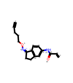 C#CCCCO/N=C1/CCc2cc(NC(=O)C=C)ccc21